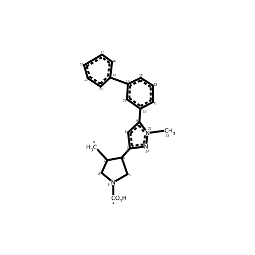 CC1CN(C(=O)O)CC1c1cc(-c2cccc(-c3ccccc3)c2)n(C)n1